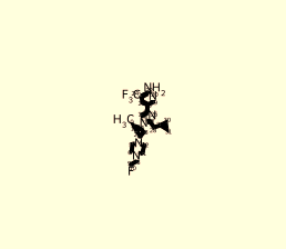 C[C@@H]1C2C(N3CCN(CCF)CC3)C[C@]21n1cc(-c2cnc(N)c(C(F)(F)F)c2)nc1CC1CC1